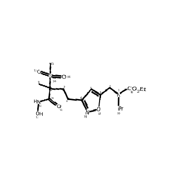 CCOC(=O)N(Cc1cc(CCC(C)(C(=O)NO)S(C)(=O)=O)no1)C(C)C